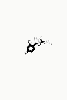 CC(C)OCc1ccc(F)cc1Cl